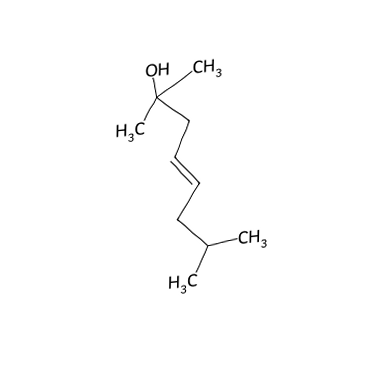 CC(C)CC=CCC(C)(C)O